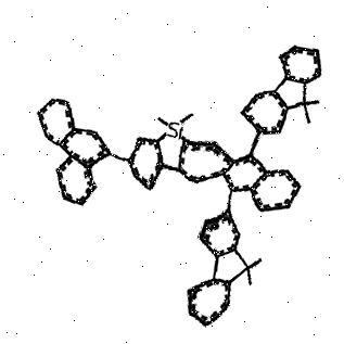 CC1(C)c2ccccc2-c2ccc(-c3c4ccccc4c(-c4ccc5c(c4)C(C)(C)c4ccccc4-5)c4cc5c(cc34)-c3ccc(-c4cc6ccccc6c6ccccc46)cc3[Si]5(C)C)cc21